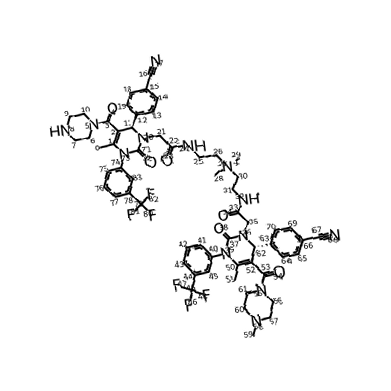 CC1=C(C(=O)N2CCNCC2)[C@@H](c2ccc(C#N)cc2)N(CC(=O)NCC[N+](C)(C)CCNC(=O)CN2C(=O)N(c3cccc(C(F)(F)F)c3)C(C)=C(C(=O)N3CCN(C)CC3)[C@H]2c2ccc(C#N)cc2)C(=O)N1c1cccc(C(F)(F)F)c1